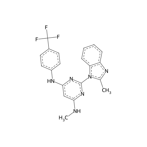 CNc1cc(Nc2ccc(C(F)(F)F)cc2)nc(-n2c(C)nc3ccccc32)n1